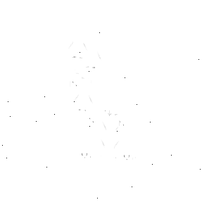 COc1cc2ncnc(Nc3ccc(NS(=O)(=O)c4cccc5ccccc45)cc3)c2cc1OC